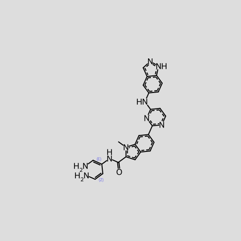 Cn1c(C(=O)NC(/C=C\N)=C/N)cc2ccc(-c3nccc(Nc4ccc5[nH]ncc5c4)n3)cc21